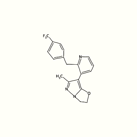 Cc1nn2c(c1-c1cccnc1Cc1ccc(C(F)(F)F)cc1)OCC2